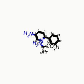 CC(C)[C@H](N)C(=O)O.Nc1ccc(-c2ccccc2)nc1